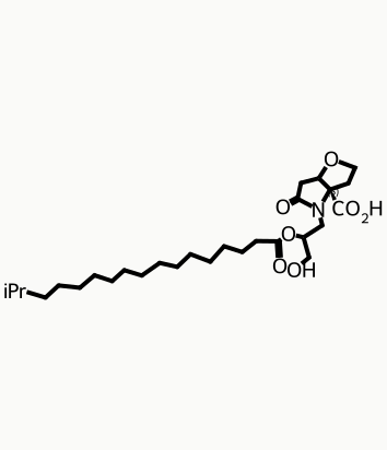 CC(C)CCCCCCCCCCCCCCC(=O)OC(CO)CN1C(=O)CC2OCC[C@@]21C(=O)O